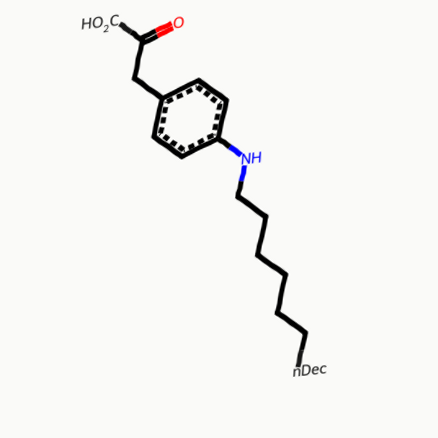 CCCCCCCCCCCCCCCCNc1ccc(CC(=O)C(=O)O)cc1